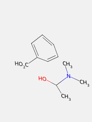 CC(O)N(C)C.O=C(O)c1ccccc1